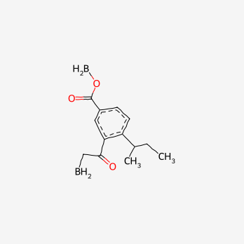 BCC(=O)c1cc(C(=O)OB)ccc1C(C)CC